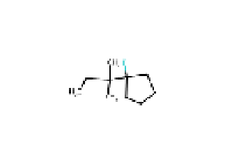 CCC(C)(C)C1(F)CCCC1